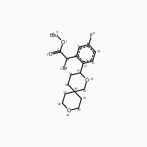 CC(C)(C)OC(=O)C(Br)c1cc(F)ccc1C1CCC2(CCOCC2)CO1